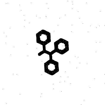 C[C](c1ccccc1)C(c1ccccc1)c1ccccc1